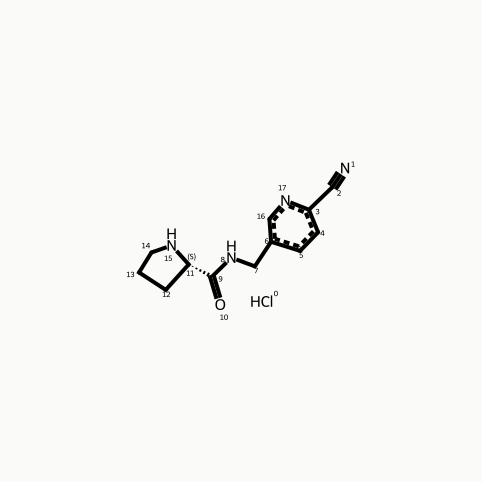 Cl.N#Cc1ccc(CNC(=O)[C@@H]2CCCN2)cn1